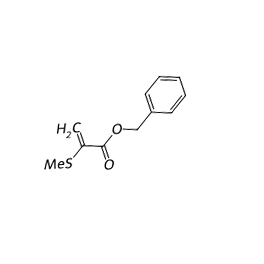 C=C(SC)C(=O)OCc1ccccc1